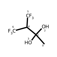 CC(O)(O)C(C(F)(F)F)C(F)(F)F